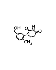 Cc1ccc(CO)cc1N1CCC(=O)NC1=O